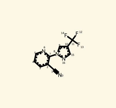 N#Cc1cccnc1-n1cc(C(F)(F)F)cn1